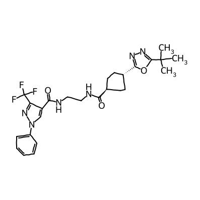 CC(C)(C)c1nnc([C@H]2CC[C@H](C(=O)NCCNC(=O)c3cn(-c4ccccc4)nc3C(F)(F)F)CC2)o1